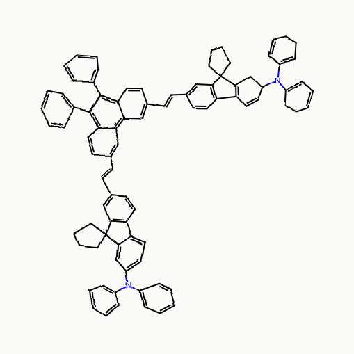 C1=CCCC(N(C2=CCCC=C2)C2C=CC3=C(C2)C2(CCCC2)c2cc(/C=C/c4ccc5c(-c6ccccc6)c(-c6ccccc6)c6ccc(/C=C/c7ccc8c(c7)C7(CCCC7)c7cc(N(c9ccccc9)c9ccccc9)ccc7-8)cc6c5c4)ccc23)=C1